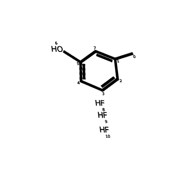 Cc1cccc(O)c1.F.F.F